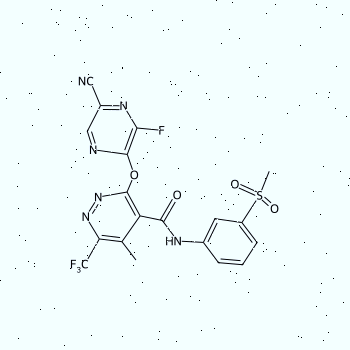 Cc1c(C(F)(F)F)nnc(Oc2ncc(C#N)nc2F)c1C(=O)Nc1cccc(S(C)(=O)=O)c1